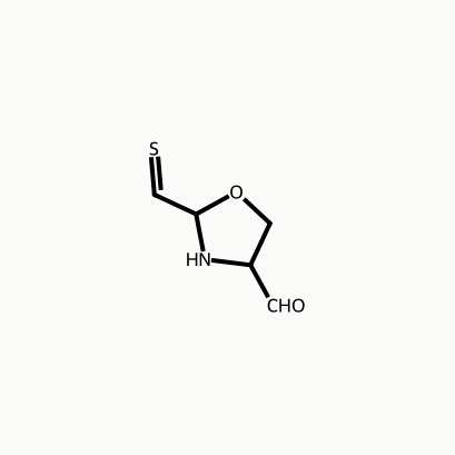 O=CC1COC(C=S)N1